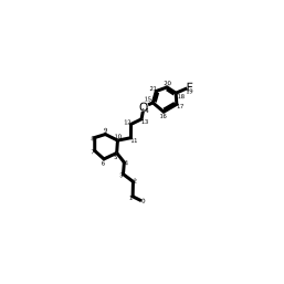 CCCCCC1CCCCC1CCCOc1ccc(F)cc1